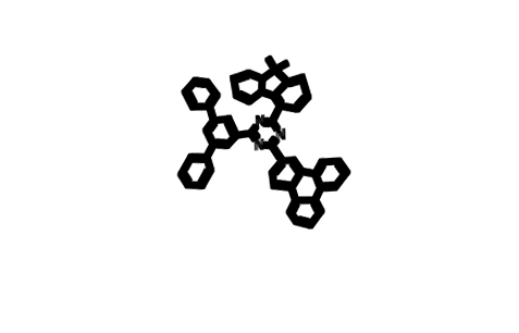 CC1(C)c2cccc(-c3nc(-c4cc(-c5ccccc5)cc(-c5ccccc5)c4)nc(-c4ccc5c6ccccc6c6ccccc6c5c4)n3)c2C2C=CC=CC21